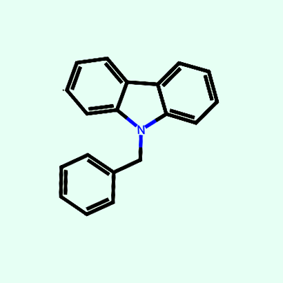 [c]1ccc2c3ccccc3n(Cc3ccccc3)c2c1